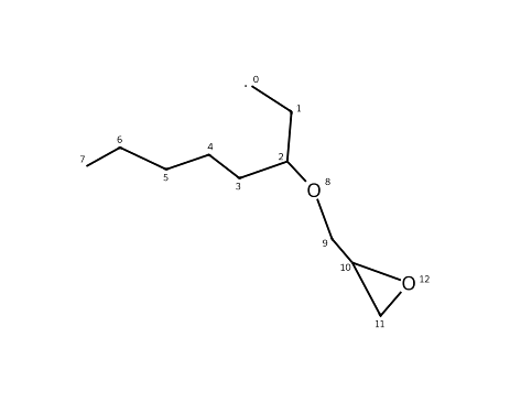 [CH2]CC(CCCCC)OCC1CO1